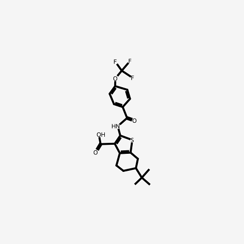 CC(C)(C)C1CCc2c(sc(NC(=O)c3ccc(OC(F)(F)F)cc3)c2C(=O)O)C1